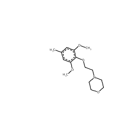 COc1cc(C)cc(OC)c1OCCN1CCOCC1